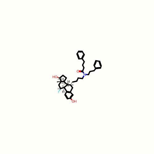 C[C@]12C[C@H](F)[C@@H]3c4ccc(O)cc4C[C@@H](CCCCN(CCCc4ccccc4)C(=O)CCCc4ccccc4)[C@H]3[C@@H]1CC[C@@H]2O